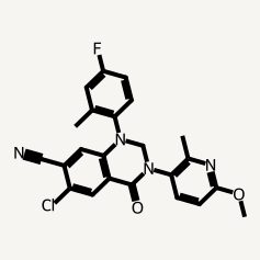 COc1ccc(N2CN(c3ccc(F)cc3C)c3cc(C#N)c(Cl)cc3C2=O)c(C)n1